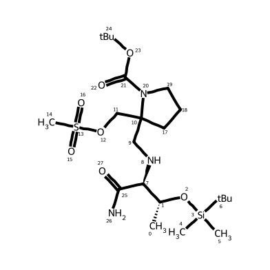 C[C@@H](O[Si](C)(C)C(C)(C)C)[C@H](NCC1(COS(C)(=O)=O)CCCN1C(=O)OC(C)(C)C)C(N)=O